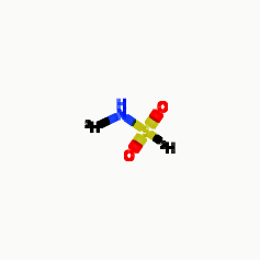 [2H]NS([2H])(=O)=O